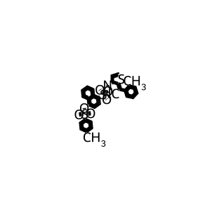 Cc1ccc(S(=O)(=O)Oc2ccc(S(=O)(=O)O/N=C3/C=CS/C3=C(/C#N)c3ccccc3C)c3ccccc23)cc1